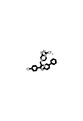 FC(F)(F)c1nnc2n1CCN(Cc1c(-c3ccc(Cl)cc3)nc3ccc(-c4ccccc4)cn13)C2